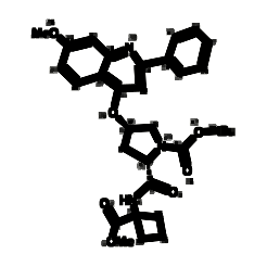 COC(=O)C1(NC(=O)[C@@H]2C[C@@H](Oc3cc(-c4ccccc4)nc4cc(OC)ccc34)CN2C(=O)OC(C)(C)C)CCC1